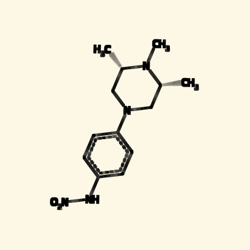 C[C@@H]1CN(c2ccc(N[N+](=O)[O-])cc2)C[C@H](C)N1C